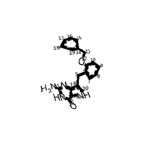 Nc1nc2c(Cc3ccccc3OCc3ccccc3)c[nH]c2c(=O)[nH]1